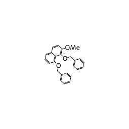 COc1ccc2cccc(OCc3ccccc3)c2c1OCc1ccccc1